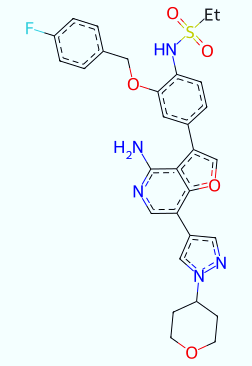 CCS(=O)(=O)Nc1ccc(-c2coc3c(-c4cnn(C5CCOCC5)c4)cnc(N)c23)cc1OCc1ccc(F)cc1